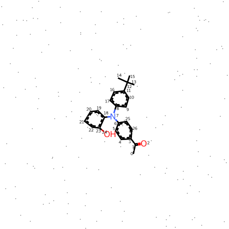 CC(=O)c1ccc(N(c2ccc(C(C)(C)C)cc2)c2ccccc2O)cc1